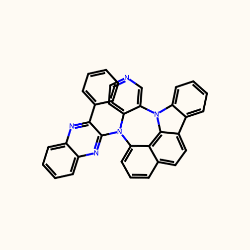 c1ccc(-c2nc3ccccc3nc2-n2c3cccc4ccc5c6ccccc6n(c6cnccc62)c5c43)cc1